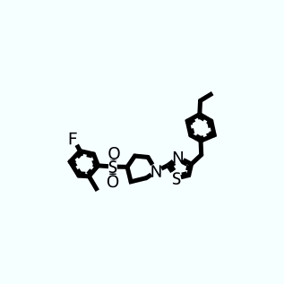 CCc1ccc(Cc2csc(N3CCC(S(=O)(=O)c4cc(F)ccc4C)CC3)n2)cc1